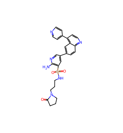 Nc1ncc(-c2ccc3nccc(-c4ccncc4)c3c2)cc1S(=O)(=O)NCCCN1CCCC1=O